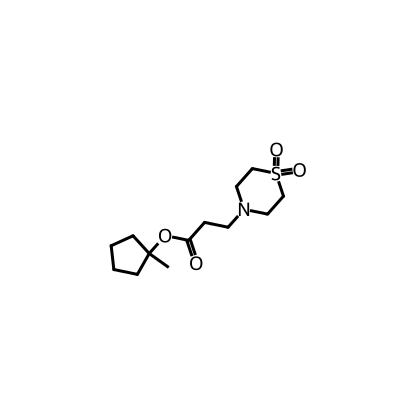 CC1(OC(=O)CCN2CCS(=O)(=O)CC2)CCCC1